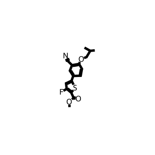 COC(=O)c1sc(-c2ccc(OCC(C)C)c(C#N)c2)cc1F